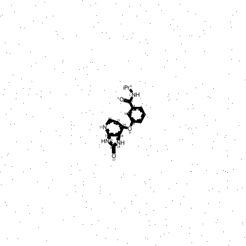 CC(C)NC(=O)c1cccc(Oc2ccnc3[nH]c(=O)[nH]c23)c1